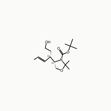 CC=C[C@H](CCO)[C@H]1COC(C)(C)N1C(=O)OC(C)(C)C